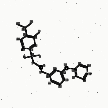 Cc1cc(C(C)(C)COCc2cccc(Oc3ccccc3)c2)ccc1C(C)C